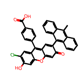 Cc1c2ccccc2c(-c2cc3c(-c4ccc(C(=O)O)cc4)c4cc(Cl)c(O)cc4oc-3cc2=O)c2ccccc12